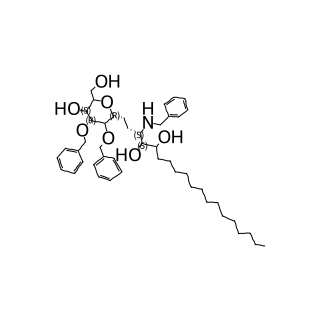 CCCCCCCCCCCCCCC(O)[C@@H](O)[C@H](CC[C@H]1OC(CO)[C@H](O)[C@@H](OCc2ccccc2)C1OCc1ccccc1)NCc1ccccc1